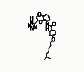 CC(C)CCCCCOc1ccc(C(=O)Nc2cccc3c2OC(c2nnn[nH]2)CO3)cc1